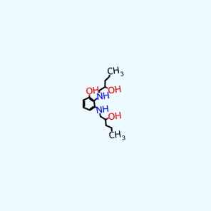 CCCC(O)CNc1cccc(O)c1NCC(O)CCC